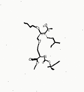 CCCO[C@H](COCC(NC(=O)OC(C)(C)C)C(=O)OC)[C@@H](CCC(C)C)[C@H](C)O